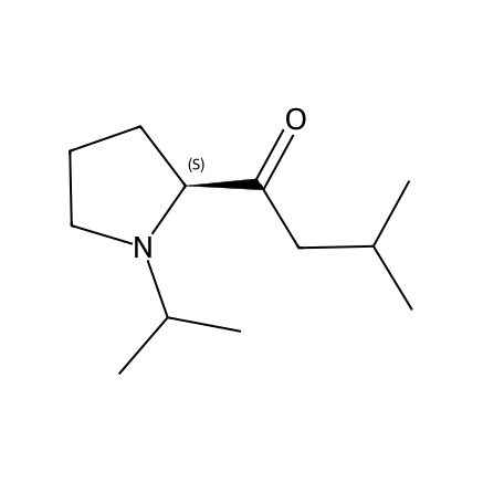 CC(C)CC(=O)[C@@H]1CCCN1C(C)C